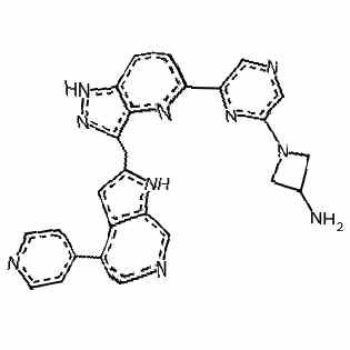 NC1CN(c2cncc(-c3ccc4[nH]nc(-c5cc6c(-c7ccncc7)cncc6[nH]5)c4n3)n2)C1